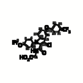 CC(C)Oc1ccc(-n2c(C(=O)NCC(=O)O)c(Cl)c3cc(Oc4ccc(C(F)(F)F)cc4)ccc32)cc1